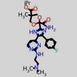 CC(C)OC(=O)C1(C)COC(C(N)=O)(c2nc(-c3ccc(F)cc3)c(-c3ccnc(NCCN(C)C)n3)[nH]2)OC1